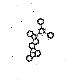 c1ccc(-c2nc(-c3ccccc3)nc(-n3c4ccccc4c4c5ccc6c(c5ccc43)c3cccc4c5ccccc5n6c43)n2)cc1